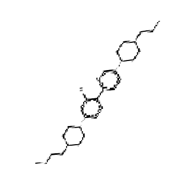 CCCC[C@H]1CC[C@H](c2ccc(-c3ccc([C@H]4CC[C@H](CCC)CC4)cn3)c(F)c2)CC1